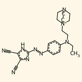 CCN(CC[N+]12CCN(CC1)CC2)c1ccc(N=Nc2nc(C#N)c(C#N)[nH]2)cc1